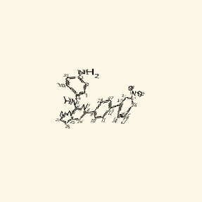 Nc1ccc(Nc2nc(-c3ccc(-c4cccc([N+](=O)[O-])c4)cc3)cc3ccnn23)cc1